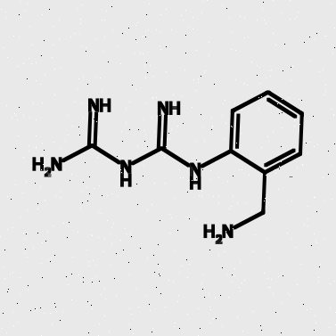 N=C(N)NC(=N)Nc1ccccc1CN